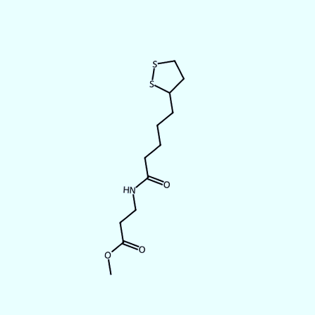 COC(=O)CCNC(=O)CCCCC1CCSS1